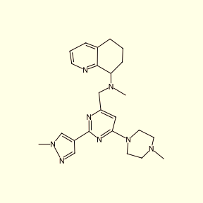 CN1CCN(c2cc(CN(C)C3CCCc4cccnc43)nc(-c3cnn(C)c3)n2)CC1